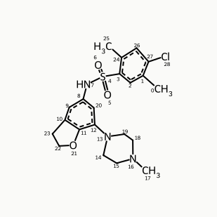 Cc1cc(S(=O)(=O)Nc2cc3c(c(N4CCN(C)CC4)c2)OCC3)c(C)cc1Cl